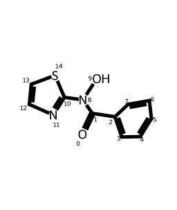 O=C(c1ccccc1)N(O)c1nccs1